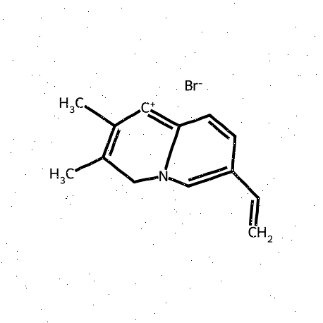 C=CC1=CN2CC(C)=C(C)[C+]=C2C=C1.[Br-]